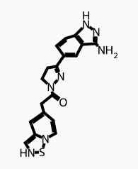 Nc1n[nH]c2ccc(C3=NN(C(=O)CC4=CC5=CNSN5C=C4)CC3)cc12